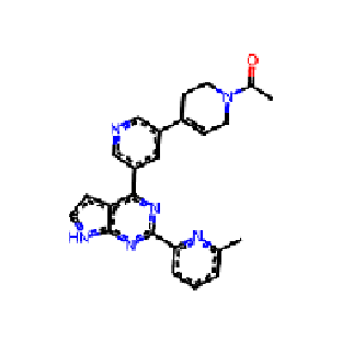 CC(=O)N1CC=C(c2cncc(-c3nc(-c4cccc(C)n4)nc4[nH]ccc34)c2)CC1